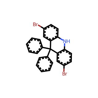 Brc1ccc2c(c1)C(c1ccccc1)(c1ccccc1)c1cc(Br)ccc1N2